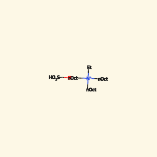 CCCCCCCC[N+](CC)(CCCCCCCC)CCCCCCCC.O=S(=O)([O-])O